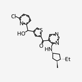 CC[C@H]1C[C@@H](Nc2ncncc2C(=O)c2cc(C(O)c3cccc(Cl)n3)cs2)C[C@@H]1C